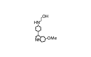 COc1ccn2ncc(-c3ccc(NCCO)cc3)c2c1